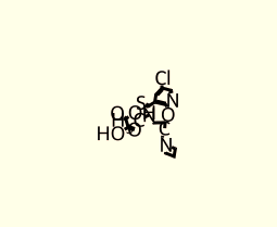 CN1CC(CCN2CCC2)Oc2ncc(Cl)cc2C1=S.O=C(O)C(=O)O